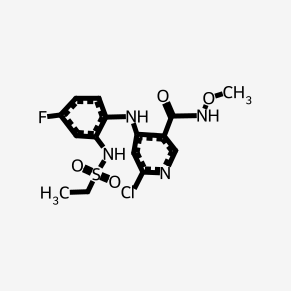 CCS(=O)(=O)Nc1cc(F)ccc1Nc1cc(Cl)ncc1C(=O)NOC